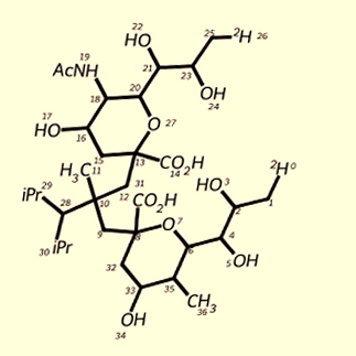 [2H]CC(O)C(O)C1OC(CC(C)(CC2(C(=O)O)CC(O)C(NC(C)=O)C(C(O)C(O)C[2H])O2)C(C(C)C)C(C)C)(C(=O)O)CC(O)C1C